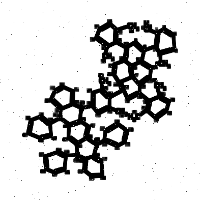 Cc1cccc(C)c1-c1cc(-c2c(C)cccc2C)c2ccc3c(-c4c(C)cc(B5c6ccccc6B(c6ccccc6)c6cc7c(cc65)B(c5ccccc5)c5ccccc5B7c5ccccc5)cc4C)cc(-c4c(C)cccc4C)c4ccc1c2c43